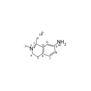 CC1=[N+](C)CCc2ccc(N)cc21.[I-]